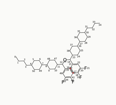 CCCCC1CCC(C2CCC(C(OC(c3ccc(F)c(F)c3)C3CCC(C4CCC(CCCC)CC4)CC3)c3ccc(F)c(F)c3)CC2)CC1